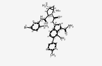 Bc1c(-c2cnc(C)nc2)ccc2c1c(C(N)=O)nn2CC(=O)N1C(C(=O)Nc2nc(Br)ccc2C)C[C@@]2(C)C[C@@H]12